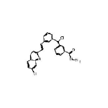 COC(=O)c1cccc(C(Cl)c2cccc(/C=C/c3ccc4ccc(Cl)cc4n3)c2)c1